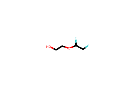 OCCOC(F)CF